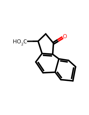 O=C1CC(C(=O)O)c2ccc3ccccc3c21